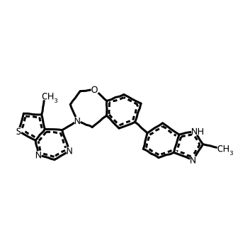 Cc1nc2ccc(-c3ccc4c(c3)CN(c3ncnc5scc(C)c35)CCO4)cc2[nH]1